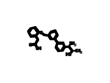 C[C@H](O)[C@@H](N)c1cccc(-c2cccc(COc3ccccc3CC(=O)O)c2)c1